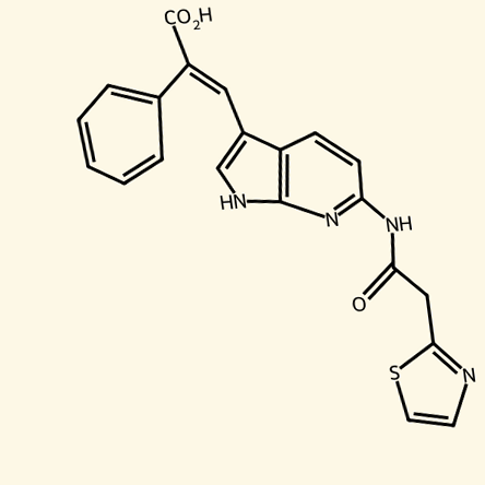 O=C(Cc1nccs1)Nc1ccc2c(C=C(C(=O)O)c3ccccc3)c[nH]c2n1